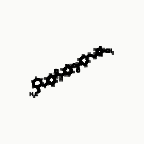 CCC1CCCCN1Cc1ccc(C(=O)Nc2ccc(OC(=O)N3CCN(CCc4csc(C)n4)CC3)nc2)cc1